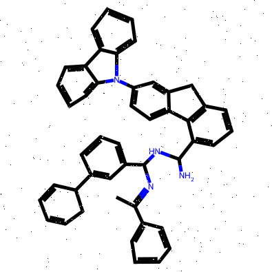 C/C(=N\C(NC(N)c1cccc2c1-c1ccc(-n3c4ccccc4c4ccccc43)cc1C2)c1cccc(C2C=CC=CC2)c1)c1ccccc1